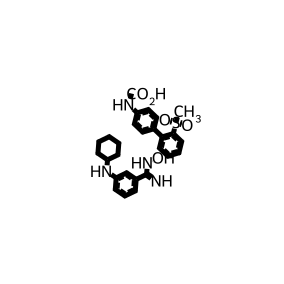 CS(=O)(=O)c1ccccc1-c1ccc(NC(=O)O)cc1.N=C(NO)c1cccc(NC2CCCCC2)c1